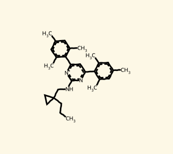 CCCC1(CNc2nc(-c3c(C)cc(C)cc3C)cc(-c3c(C)cc(C)cc3C)n2)CC1